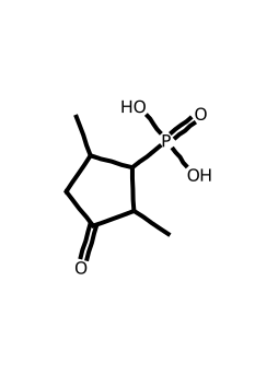 CC1CC(=O)C(C)C1P(=O)(O)O